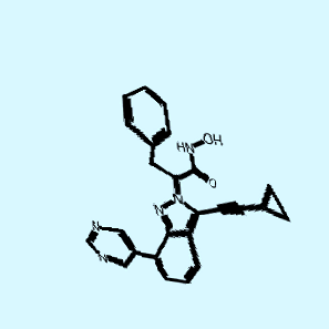 O=C(NO)C(Cc1ccccc1)n1nc2c(-c3cncnc3)cccc2c1C#CC1CC1